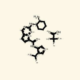 N[C@H]1CCCC[C@H]1Nc1ncc2ccc(C(=O)Nc3cscc3C(F)F)n2n1.O=C(O)C(F)(F)F